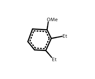 CCc1cccc(OC)c1CC